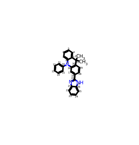 CC1(C)c2ccccc2N(c2ccccc2)c2cc(-c3nc4ccccc4[nH]3)ccc21